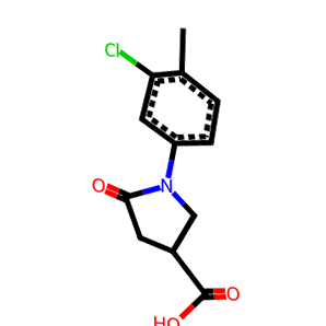 Cc1ccc(N2CC(C(=O)O)CC2=O)cc1Cl